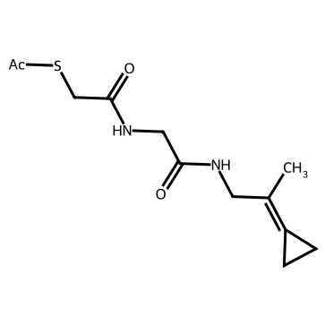 CC(=O)SCC(=O)NCC(=O)NCC(C)=C1CC1